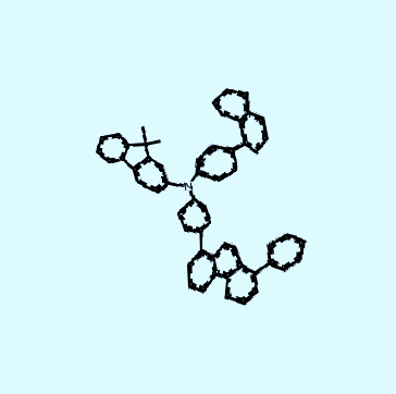 CC1(C)c2ccccc2-c2ccc(N(c3ccc(-c4cccc5ccccc45)cc3)c3ccc(-c4cccc5c4ccc4c(-c6ccccc6)cccc45)cc3)cc21